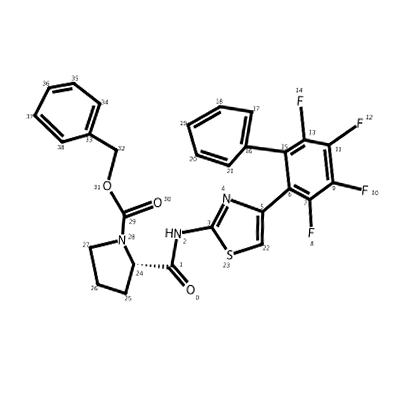 O=C(Nc1nc(-c2c(F)c(F)c(F)c(F)c2-c2ccccc2)cs1)[C@@H]1CCCN1C(=O)OCc1ccccc1